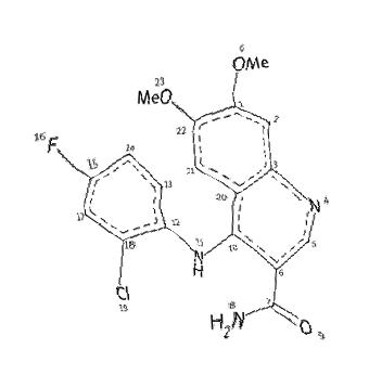 COc1cc2ncc(C(N)=O)c(Nc3ccc(F)cc3Cl)c2cc1OC